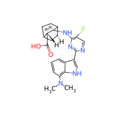 CN(C)c1cccc2c(-c3ncc(F)c(N[C@@H]4C5CCC(CC5)[C@H]4C(=O)O)n3)c[nH]c12